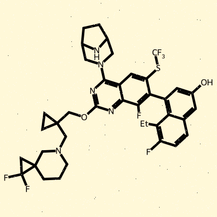 CCc1c(F)ccc2cc(O)cc(-c3c(SC(F)(F)F)cc4c(N5CC6CCC(C5)N6)nc(OCC5(CN6CCCC7(C6)CC7(F)F)CC5)nc4c3F)c12